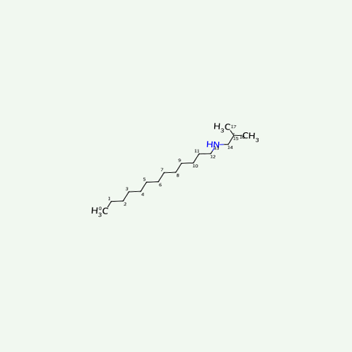 CCCCCCCCCCCCCNC[C](C)C